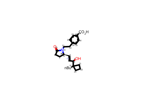 CCCCC1(C(O)/C=C/[C@H]2CCC(=O)N2CCc2ccc(C(=O)O)cc2)CCC1